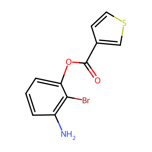 Nc1cccc(OC(=O)c2ccsc2)c1Br